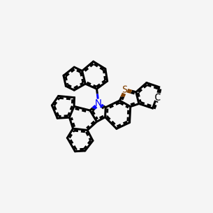 c1ccc2c(-n3c4c(ccc5c6ccccc6sc54)c4c5ccccc5c5ccccc5c43)cccc2c1